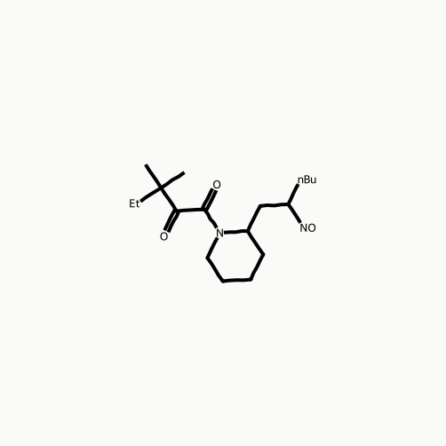 CCCCC(CC1CCCCN1C(=O)C(=O)C(C)(C)CC)N=O